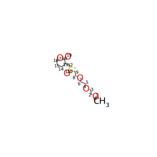 COCCOCCOCC[S+]([O-])CC1CCCOC1=O